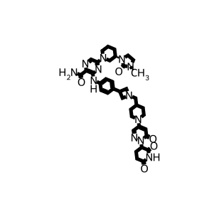 CN1CCN([C@@H]2CCCN(c3cnc(C(N)=O)c(Nc4ccc(C5CN(CC6CCN(c7cnn(C8CCC(=O)NC8=O)c(=O)c7)CC6)C5)cc4)n3)C2)C1=O